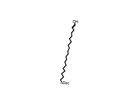 CCCCCCCCCCCCCCCCCCCCCCCCCCCC/C=C/O